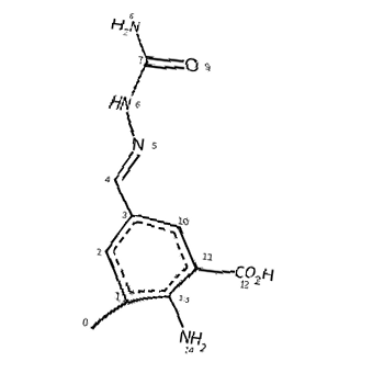 Cc1cc(C=NNC(N)=O)cc(C(=O)O)c1N